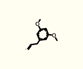 [CH]=CCc1cc(OC)cc(OC)c1